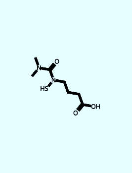 CN(C)C(=O)N(S)CCCC(=O)O